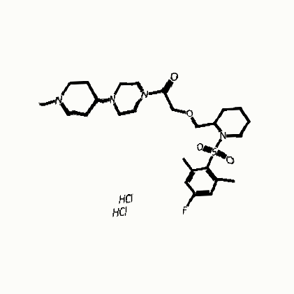 Cc1cc(F)cc(C)c1S(=O)(=O)N1CCCCC1COCC(=O)N1CCN(C2CCN(C)CC2)CC1.Cl.Cl